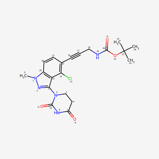 Cn1nc(N2CCC(=O)NC2=O)c2c(Cl)c(C#CCNC(=O)OC(C)(C)C)ccc21